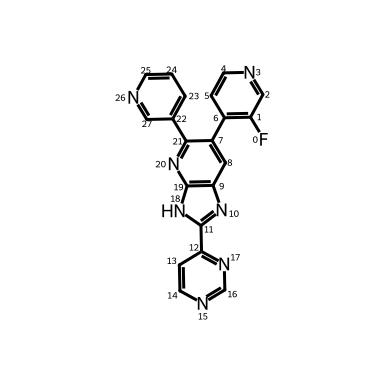 Fc1cnccc1-c1cc2nc(-c3ccncn3)[nH]c2nc1-c1cccnc1